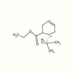 CCOC(=O)C1CC=CC[C@@H]1C(C)(C)C